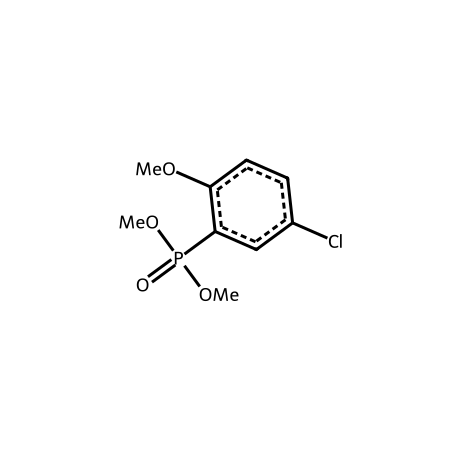 COc1ccc(Cl)cc1P(=O)(OC)OC